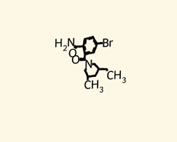 CCC1CC(C)CN(C(=O)c2cc(Br)ccc2C(N)=O)C1